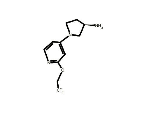 N[C@@H]1CCN(c2ccnc(OCC(F)(F)F)c2)C1